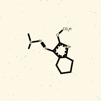 CN(C)N=Nc1c(OC(=O)O)[se]c2c1CCCC2